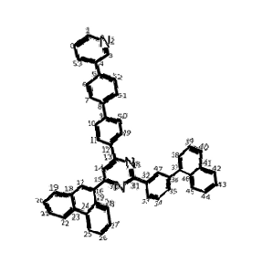 c1cncc(-c2ccc(-c3ccc(-c4cc(-c5cc6ccccc6c6ccccc56)nc(-c5cccc(-c6cccc7ccccc67)c5)n4)cc3)cc2)c1